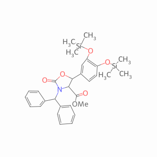 COC(=O)C1C(c2ccc(O[Si](C)(C)C)c(O[Si](C)(C)C)c2)OC(=O)N1C(c1ccccc1)c1ccccc1